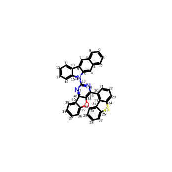 c1ccc2cc3c(cc2c1)c1ccccc1n3-c1nc(-c2cccc3sc4ccccc4c23)c2oc3ccccc3c2n1